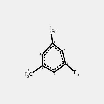 [CH2]C(C)c1cc(F)cc(C(F)(F)F)c1